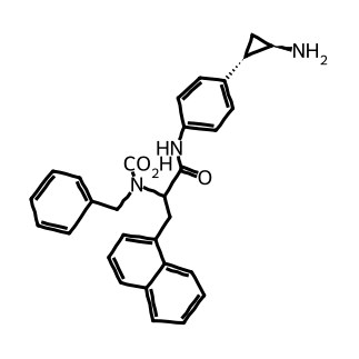 N[C@@H]1C[C@H]1c1ccc(NC(=O)C(Cc2cccc3ccccc23)N(Cc2ccccc2)C(=O)O)cc1